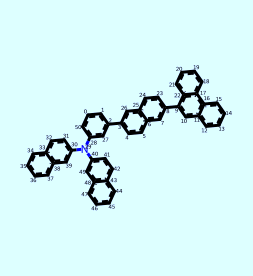 c1cc(-c2ccc3cc(-c4cc5ccccc5c5ccccc45)ccc3c2)cc(N(c2ccc3ccccc3c2)c2ccc3ccccc3c2)c1